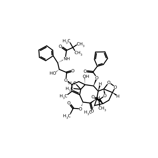 CC(=O)O[C@H]1C(=O)[C@]23[C@H](C[C@H]4OO[C@@]4(OC(C)=O)[C@H]2[C@H](OC(=O)c2ccccc2)[C@]2(O)C[C@H](OC(=O)[C@H](O)[C@@H](NC(=O)C(C)(C)C)c4ccccc4)C(C)=C1C2(C)C)[C@@H]3C